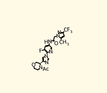 CC(=O)N1CCOC[C@H]1c1cn(-c2ncc(NC(=O)Cn3nc(C(F)(F)F)cc3C)cc2F)cn1